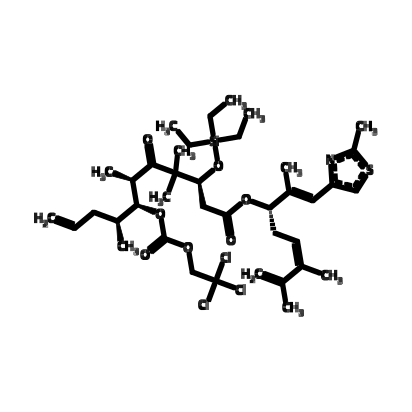 C=CC[C@H](C)[C@H](OC(=O)OCC(Cl)(Cl)Cl)[C@@H](C)C(=O)C(C)(C)[C@H](CC(=O)O[C@@H](C/C=C(/C)C(=C)C)/C(C)=C/c1csc(C)n1)O[Si](CC)(CC)CC